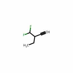 C#CC(CC)C(F)F